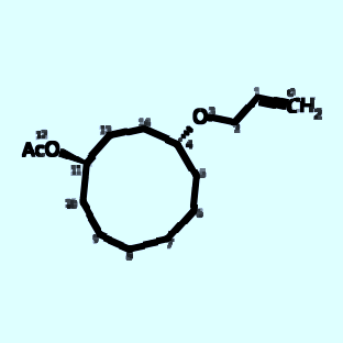 C=CCO[C@@H]1CCCCCC[C@@H](OC(C)=O)CC1